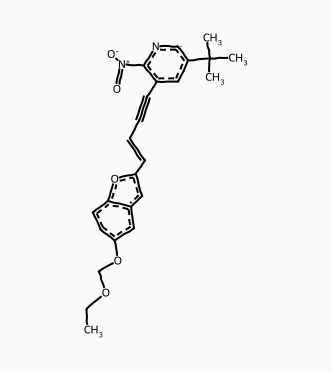 CCOCOc1ccc2oc(/C=C/C#Cc3cc(C(C)(C)C)[c]nc3[N+](=O)[O-])cc2c1